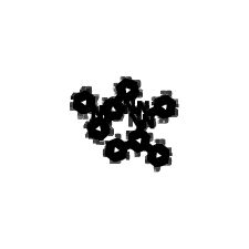 c1ccc(-c2cc(-c3ccccc3)cc(-c3nc(-c4ccccc4)nc(-n4c5ccccc5c5cc6c(cc54)c4ccccc4n6-c4ccccc4)n3)c2)cc1